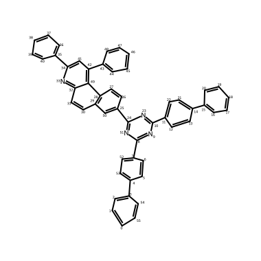 c1ccc(-c2ccc(-c3nc(-c4ccc(-c5ccccc5)cc4)nc(-c4ccc5c(ccc6nc(-c7ccccc7)cc(-c7ccccc7)c65)c4)n3)cc2)cc1